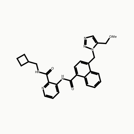 COCc1cnnn1Cc1ccc(C(=O)Nc2cccnc2C(=O)NCC2CCC2)c2ccccc12